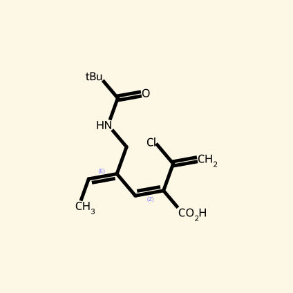 C=C(Cl)/C(=C\C(=C/C)CNC(=O)C(C)(C)C)C(=O)O